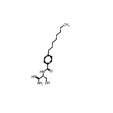 CCCCCCCCc1ccc(C(=O)N[C@@H](CO)C(=N)N)cc1